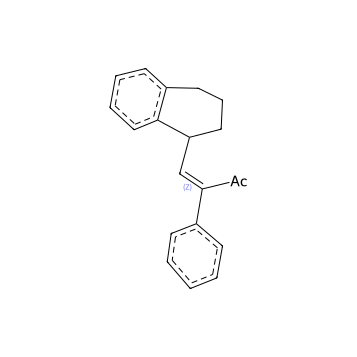 CC(=O)/C(=C\C1CCCc2ccccc21)c1ccccc1